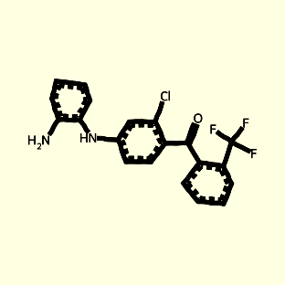 Nc1ccccc1Nc1ccc(C(=O)c2ccccc2C(F)(F)F)c(Cl)c1